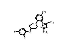 Cc1cc(C)n(-c2cc(C#N)ccc2N2CCC(Oc3ccc(F)cc3F)CC2)n1